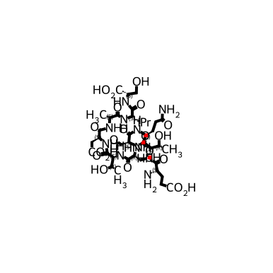 CC(C)[C@H](NC(=O)[C@H](C)NC(=O)[C@H](CC(=O)O)NC(=O)[C@@H](NC(=O)[C@H](CS)NC(=O)[C@H](CCC(N)=O)NC(=O)[C@H](CO)NC(=O)[C@@H](NC(=O)[C@@H](N)CCC(=O)O)[C@@H](C)O)[C@@H](C)O)C(=O)N[C@@H](CO)C(=O)O